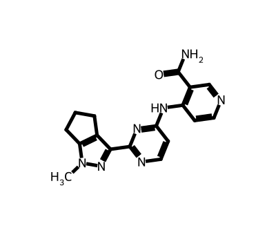 Cn1nc(-c2nccc(Nc3ccncc3C(N)=O)n2)c2c1CCC2